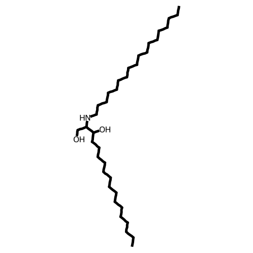 CCCCCCCCCCCCCCCCCCNC(CO)C(O)CCCCCCCCCCCCCCC